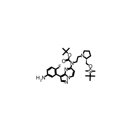 CC(C)(C)OC(=O)N(CCN1CCC[C@H]1CO[Si](C)(C)C(C)(C)C)c1ccn2ncc(-c3cc(N)ccc3F)c2n1